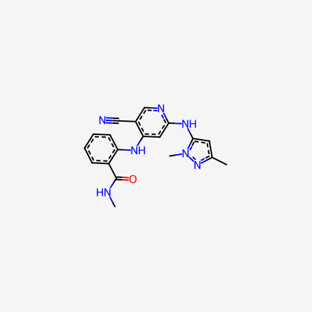 CNC(=O)c1ccccc1Nc1cc(Nc2cc(C)nn2C)ncc1C#N